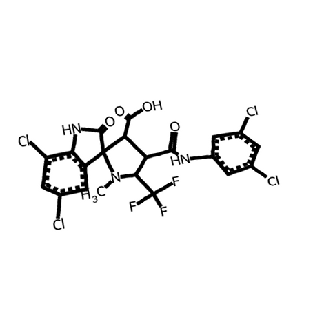 CN1C(C(F)(F)F)C(C(=O)Nc2cc(Cl)cc(Cl)c2)C(C(=O)O)C12C(=O)Nc1c(Cl)cc(Cl)cc12